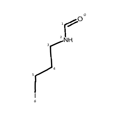 O=CNCCCI